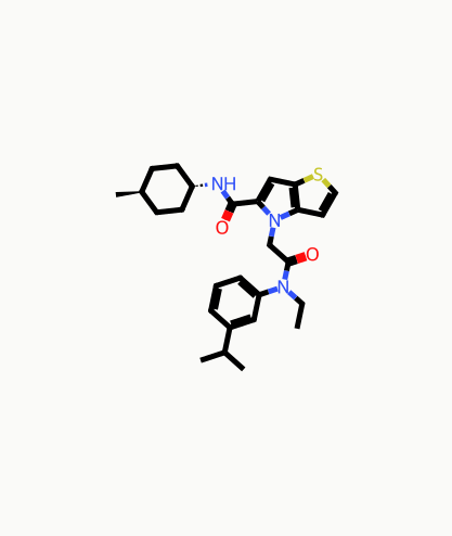 CCN(C(=O)Cn1c(C(=O)N[C@H]2CC[C@H](C)CC2)cc2sccc21)c1cccc(C(C)C)c1